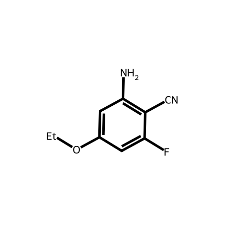 CCOc1cc(N)c(C#N)c(F)c1